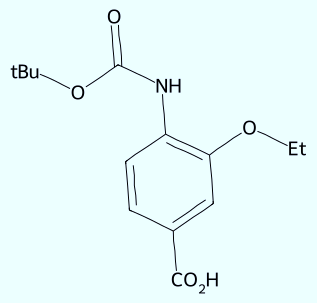 CCOc1cc(C(=O)O)ccc1NC(=O)OC(C)(C)C